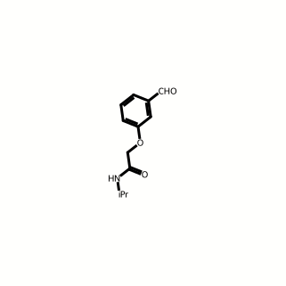 CC(C)NC(=O)COc1cccc(C=O)c1